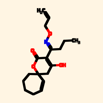 C=CCON=C(CCC)C1=C(O)CC2(C=CCCCC2)OC1=O